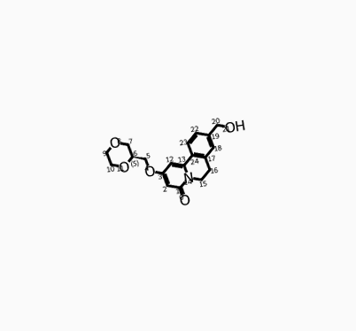 O=c1cc(OC[C@@H]2COCCO2)cc2n1CCc1cc(CO)ccc1-2